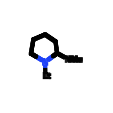 CCN1CCCCC1NC